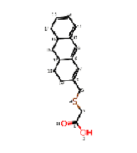 O=C(O)CSCC1=CC2=CC3=CC=CCC3CC2CC1